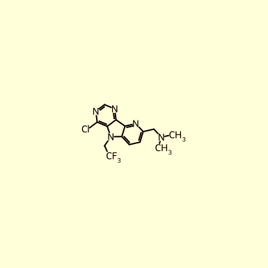 CN(C)Cc1ccc2c(n1)c1ncnc(Cl)c1n2CC(F)(F)F